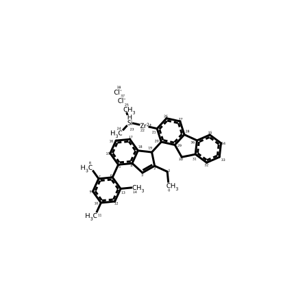 CCC1=Cc2c(-c3c(C)cc(C)cc3C)cccc2C1c1[c]([Zr+2][SiH](C)C)ccc2c1Cc1ccccc1-2.[Cl-].[Cl-]